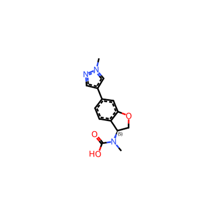 CN(C(=O)O)[C@@H]1COc2cc(-c3cnn(C)c3)ccc21